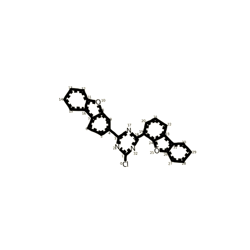 Clc1nc(-c2ccc3c(c2)oc2ccccc23)nc(-c2cccc3c2oc2ccccc23)n1